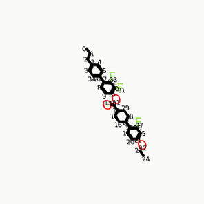 CCCc1ccc(-c2ccc(OC(=O)C3CCC(c4ccc(OCC)cc4F)CC3)c(F)c2F)cc1